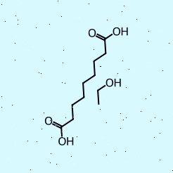 CCO.O=C(O)CCCCCCCC(=O)O